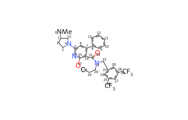 CNC1CCN(c2cc(-c3ccccc3)c3c(n2)OCCCN(Cc2cc(C(F)(F)F)cc(C(F)(F)F)c2)C3=O)C1